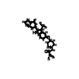 Cc1cc(-c2[nH]c3ccc(OC4CCN(CC(=O)N(C)C)CC4)cc3c2C(C)C)cn2ncnc12